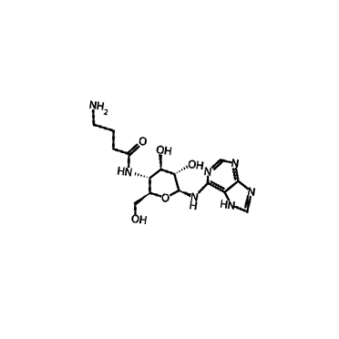 NCCCC(=O)N[C@@H]1[C@@H](O)[C@H](O)[C@@H](Nc2ncnc3nc[nH]c23)O[C@H]1CO